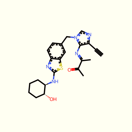 C#Cc1ncn(Cc2ccc3nc(N[C@@H]4CCCC[C@H]4O)sc3c2)c1/N=C(\C)C(C)=O